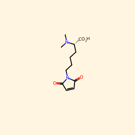 CN(C)[C@@H](CCCCN1C(=O)C=CC1=O)C(=O)O